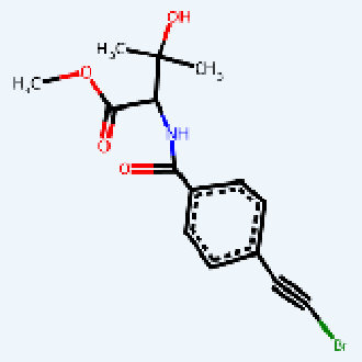 COC(=O)C(NC(=O)c1ccc(C#CBr)cc1)C(C)(C)O